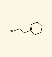 [CH2]CCCCCC1=CCCCC1